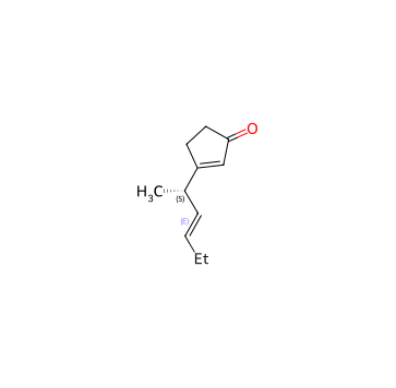 CC/C=C/[C@H](C)C1=CC(=O)CC1